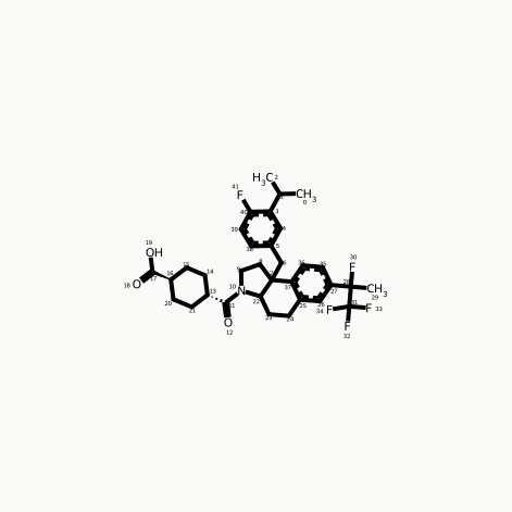 CC(C)c1cc(CC23CCN(C(=O)[C@H]4CC[C@H](C(=O)O)CC4)C2CCc2cc(C(C)(F)C(F)(F)F)ccc23)ccc1F